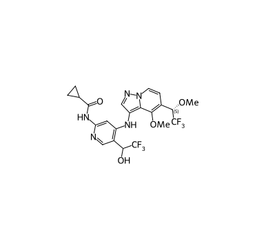 COc1c([C@H](OC)C(F)(F)F)ccn2ncc(Nc3cc(NC(=O)C4CC4)ncc3C(O)C(F)(F)F)c12